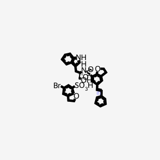 O=S(=O)(N[C@@H](CO)Cc1c[nH]c2ccccc12)c1cc(/C=C/c2ccccc2)cc2c1OCC2.O=S(=O)(O)c1cc(Br)cc2c1OCC2